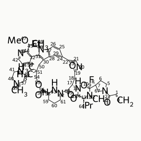 C=CC(=O)N1CC[C@](F)(C(=O)N(C)[C@H](C(=O)N[C@H]2Cc3ncc(o3)-c3ccc4c(c3)c(c(-c3cc(N5CCN(C)CC5)cnc3[C@H](C)OC)n4CC)CC(C)(C)COC(=O)[C@@H]3CCCN(N3)C2=O)C(C)C)C1